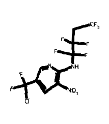 O=[N+]([O-])c1cc(C(F)(F)Cl)cnc1NC(F)(F)C(F)(F)CC(F)(F)F